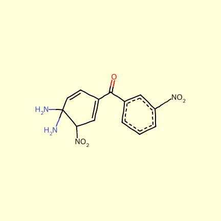 NC1(N)C=CC(C(=O)c2cccc([N+](=O)[O-])c2)=CC1[N+](=O)[O-]